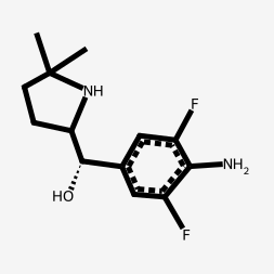 CC1(C)CCC([C@@H](O)c2cc(F)c(N)c(F)c2)N1